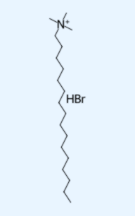 Br.CCCCCCCCCCCCCCCC[N+](C)(C)C